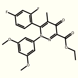 CCOC(=O)c1nn(-c2cc(OC)cc(OC)c2)c(-c2ccc(F)cc2F)c(C)c1=O